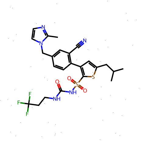 Cc1nccn1Cc1ccc(-c2cc(CC(C)C)sc2S(=O)(=O)NC(=O)NCCC(F)(F)F)c(C#N)c1